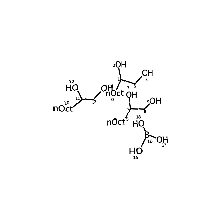 CCCCCCCCC(O)CO.CCCCCCCCC(O)CO.CCCCCCCCC(O)CO.OB(O)O